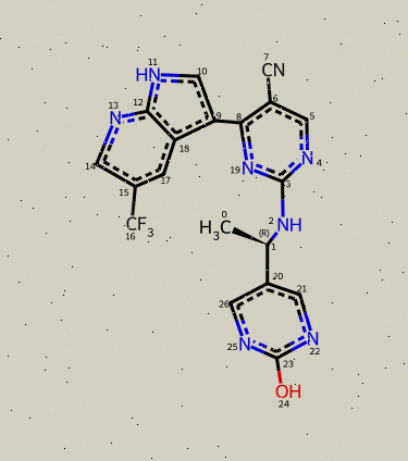 C[C@@H](Nc1ncc(C#N)c(-c2c[nH]c3ncc(C(F)(F)F)cc23)n1)c1cnc(O)nc1